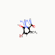 Cc1cc(Br)c(=O)n(N)c1C(N)=O